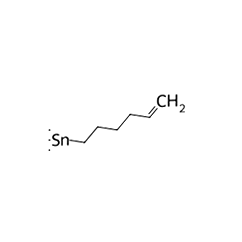 C=CCCC[CH2][Sn]